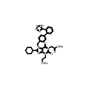 COCCn1c(=O)n(CC(=O)OC)c(=O)c2c1nc(C1CCCCC1)n2Cc1ccc(-c2ccccc2-c2nnn[nH]2)cc1